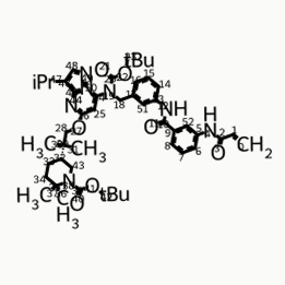 C=CC(=O)Nc1cccc(C(=O)Nc2cccc(CN(C(=O)OC(C)(C)C)c3cc(OCC(C)(C)[C@H]4CCC(C)(C)N(C(=O)OC(C)(C)C)C4)nc4c(C(C)C)cnn34)c2)c1